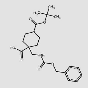 CC(C)(C)OC(=O)N1CCC(CNC(=O)OCc2ccccc2)(C(=O)O)CC1